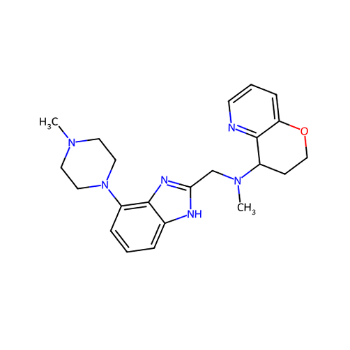 CN1CCN(c2cccc3[nH]c(CN(C)C4CCOc5cccnc54)nc23)CC1